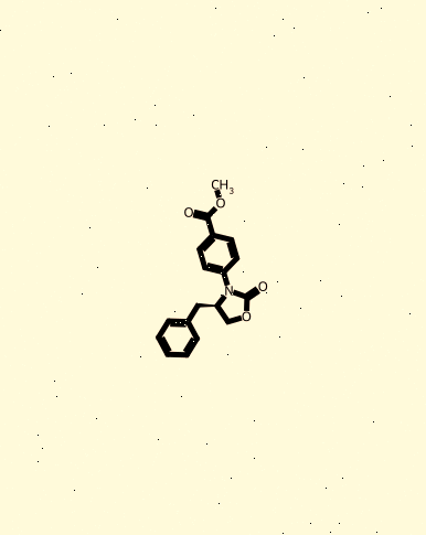 COC(=O)c1ccc(N2C(=O)OC[C@H]2Cc2ccccc2)cc1